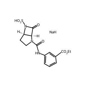 CCOC(=O)c1cccc(NC(=O)N2CC[C@@H]3[C@H]2C(=O)N3S(=O)(=O)O)c1.[NaH]